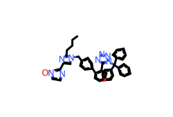 CCCCc1nc(-c2c[n+]([O-])ccn2)cn1Cc1ccc(-c2ccccc2-c2nnnn2C(c2ccccc2)(c2ccccc2)c2ccccc2)cc1